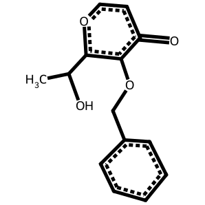 CC(O)c1occc(=O)c1OCc1ccccc1